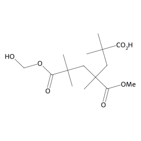 COC(=O)C(C)(CC(C)(C)C(=O)O)CC(C)(C)C(=O)OCO